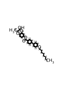 CCCCCCCCOc1ccc(-c2ccc(C(=O)Oc3ccc(O[C@H](C)C(=O)O)cc3)cc2)cc1